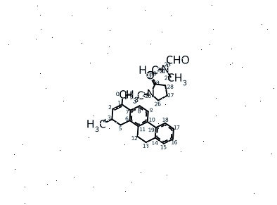 CC1=CC(C)Cc2c1ccc1c2CCc2ccccc2-1.CN(C)C=O.CN1CCCC1=O